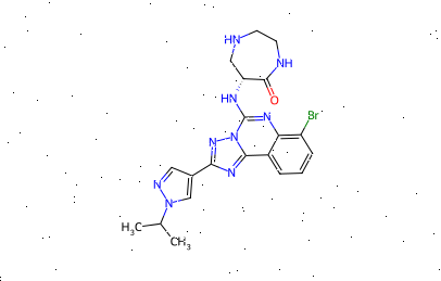 CC(C)n1cc(-c2nc3c4cccc(Br)c4nc(N[C@@H]4CNCCNC4=O)n3n2)cn1